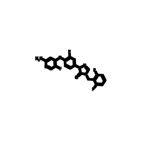 Nc1cc(Oc2ccc(-n3ncn(Cc4c(F)cccc4F)c3=O)cc2F)c(F)cn1